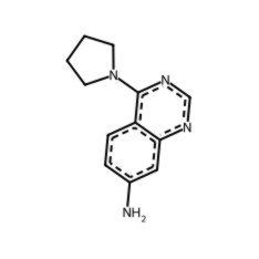 Nc1ccc2c(N3CCCC3)ncnc2c1